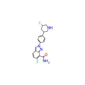 NC(=O)c1c(F)ccc2cn(-c3ccc(C4CNCC(F)C4)cc3)nc12